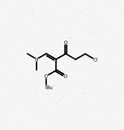 CN(C)/C=C(/C(=O)CCCl)C(=O)OC(C)(C)C